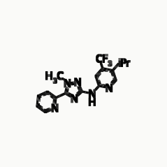 CC(C)c1cnc(Nc2nc(-c3ccccn3)n(C)n2)cc1C(F)(F)F